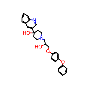 O[C@H](COc1ccc(Oc2ccccc2)cc1)CN1CCC(O)(c2cnc3ccccc3c2)CC1